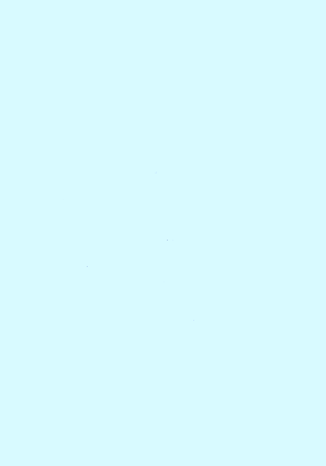 Cc1ccc(-c2c(C)cccc2C)c(C)c1